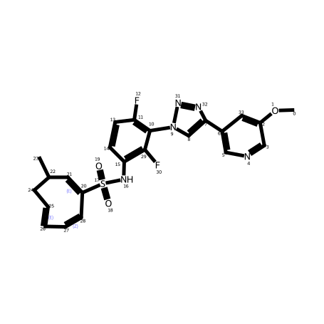 COc1cncc(-c2cn(-c3c(F)ccc(NS(=O)(=O)C4=C/C(C)C/C=C/C=C\4)c3F)nn2)c1